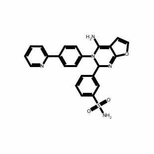 NC1=c2ccoc2=NC(c2cccc(S(N)(=O)=O)c2)N1c1ccc(-c2ccccn2)cc1